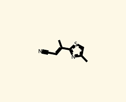 CC(=CC#N)c1nc(C)cs1